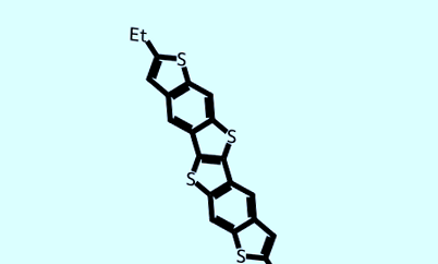 CCc1cc2cc3c(cc2s1)sc1c2cc4cc(CC)sc4cc2sc31